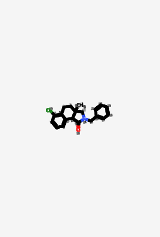 CC12CCc3c(Cl)cccc3C1C(=O)N(Cc1ccccc1)C2